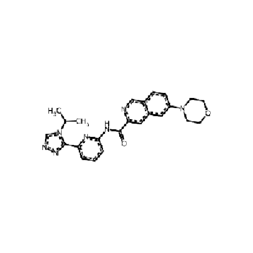 CC(C)n1cnnc1-c1cccc(NC(=O)c2cc3cc(N4CCOCC4)ccc3cn2)n1